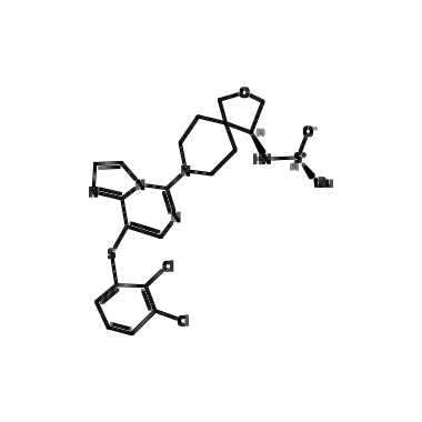 CC(C)(C)[S@+]([O-])N[C@@H]1COCC12CCN(c1ncc(Sc3cccc(Cl)c3Cl)c3nccn13)CC2